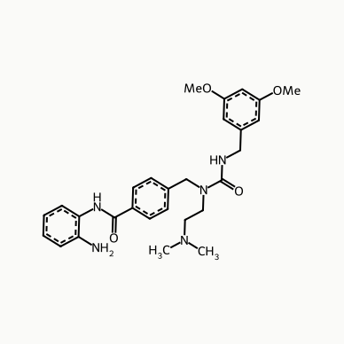 COc1cc(CNC(=O)N(CCN(C)C)Cc2ccc(C(=O)Nc3ccccc3N)cc2)cc(OC)c1